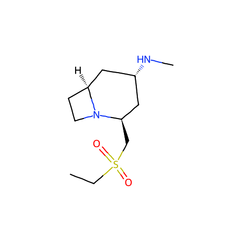 CCS(=O)(=O)C[C@@H]1C[C@@H](NC)C[C@@H]2CCN21